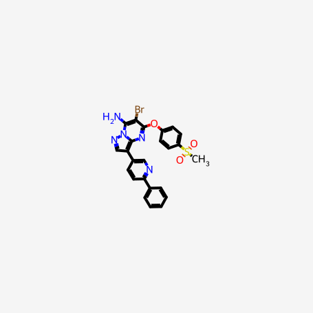 CS(=O)(=O)c1ccc(Oc2nc3c(-c4ccc(-c5ccccc5)nc4)cnn3c(N)c2Br)cc1